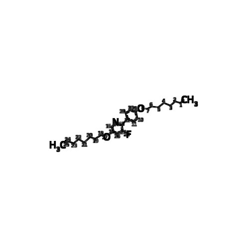 CCCCCCCCOc1ccc(-c2ncc(OCCCCCCCC)cc2F)cc1